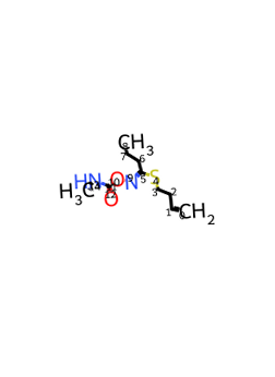 C=CCCSC(CCC)=NOC(=O)NC